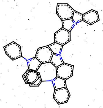 c1ccc(-n2c3ccccc3c3c4c5c6c(ccc5n5c7cc8c(cc7c(cc32)c45)c2cccc3c4ccccc4n8c32)c2ccccc2n6-c2ccccc2)cc1